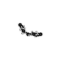 COc1cc2c(cc1OCc1ccnc(COc3cc4c(cc3OC)C(=O)N3Cc5ccccc5CC3C=N4)c1)N=C[C@@H]1Cc3ccccc3CN1C2=O